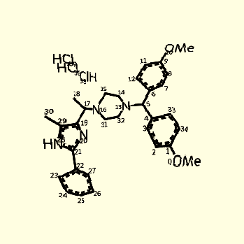 COc1ccc(C(c2ccc(OC)cc2)N2CCN(C(C)c3nc(-c4ccccc4)[nH]c3C)CC2)cc1.Cl.Cl.Cl